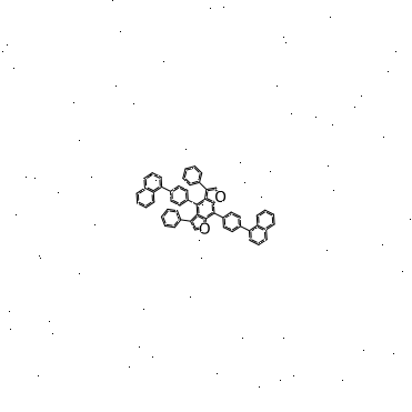 c1ccc(-c2coc3c(-c4ccc(-c5cccc6ccccc56)cc4)c4occ(-c5ccccc5)c4c(-c4ccc(-c5cccc6ccccc56)cc4)c23)cc1